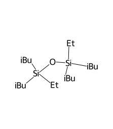 CCC(C)[Si](CC)(O[Si](CC)(C(C)CC)C(C)CC)C(C)CC